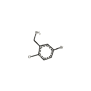 BCc1cc(Br)ccc1Cl